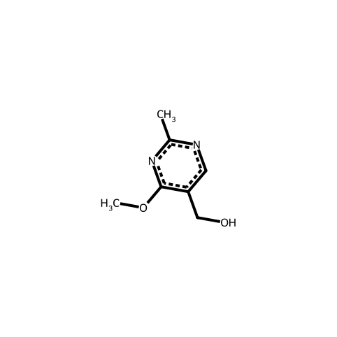 COc1nc(C)ncc1CO